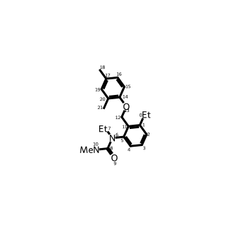 CCc1cccc(N(CC)C(=O)NC)c1COc1ccc(C)cc1C